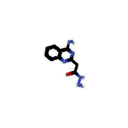 NNC(=O)Cc1nc(N)c2ccccc2n1